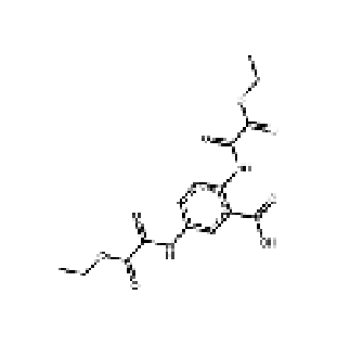 CCOC(=O)C(=O)Nc1ccc(NC(=O)C(=O)OCC)c(C(=O)O)c1